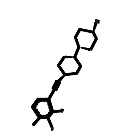 CC[C@H]1CC[C@H]([C@H]2CC[C@H](C#Cc3ccc(C)c(F)c3F)CC2)CC1